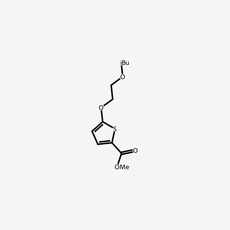 CCC(C)OCCOc1ccc(C(=O)OC)s1